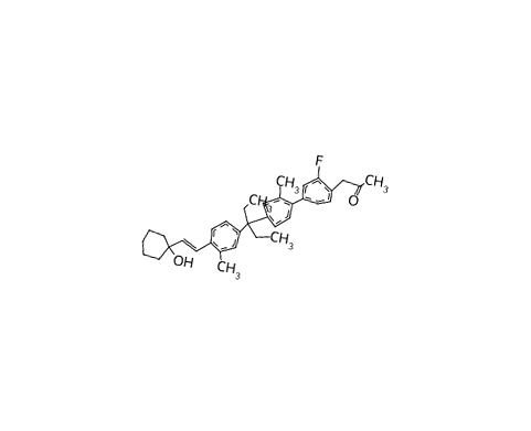 CCC(CC)(c1ccc(/C=C/C2(O)CCCCC2)c(C)c1)c1ccc(-c2ccc(CC(C)=O)c(F)c2)c(C)c1